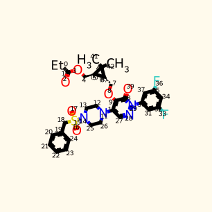 CCC(=O)OC[C@@H]1[C@@H](COc2c(N3CCN(S(=O)(=O)Cc4ccccc4)CC3)cnn(-c3cc(F)cc(F)c3)c2=O)C1(C)C